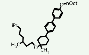 CCCCCCCCOc1ccc(-c2ccc(C3CCC(C)(OCCC(C)CCCC(C)C)CC3)cc2)cc1